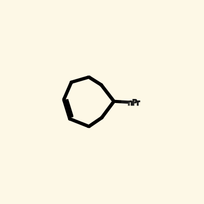 CCCC1CCC=CCCC1